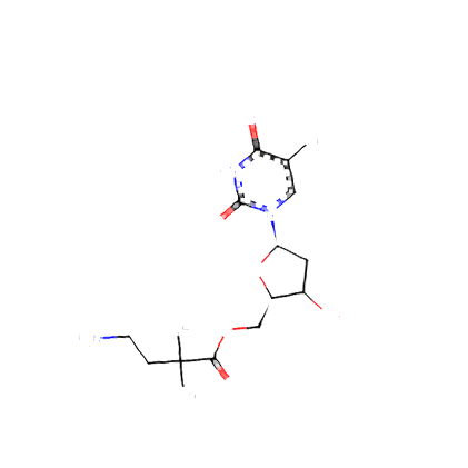 Cc1cn([C@H]2CC(O)[C@@H](COC(=O)C(C)(C)CCN)O2)c(=O)[nH]c1=O